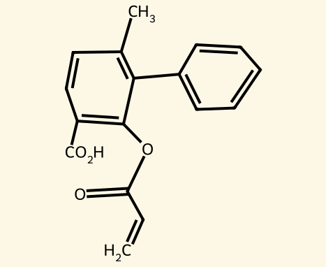 C=CC(=O)Oc1c(C(=O)O)ccc(C)c1-c1ccccc1